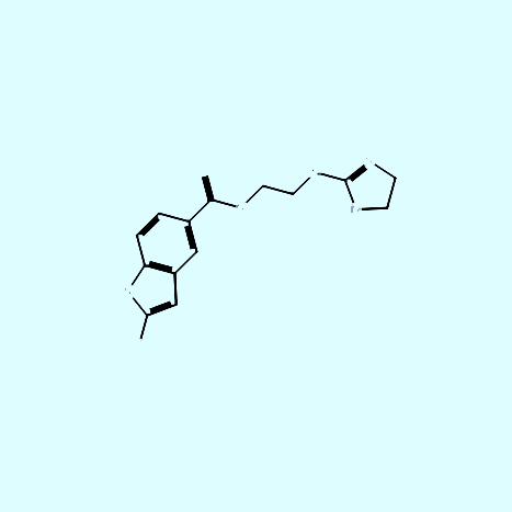 O=C(NCCNC1=NCCN1)c1ccc2[nH]c(C(=O)O)cc2c1